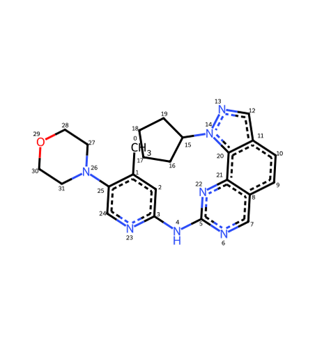 Cc1cc(Nc2ncc3ccc4cnn(C5CCCC5)c4c3n2)ncc1N1CCOCC1